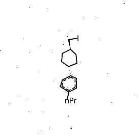 CCCc1ccc([C@H]2CC[C@H](CI)CC2)cc1